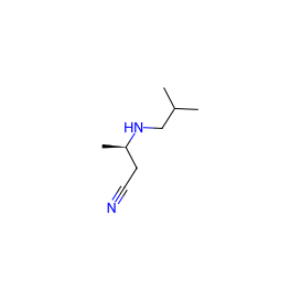 CC(C)CN[C@H](C)CC#N